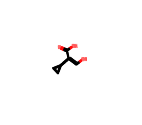 O=C(O)C(=CO)C1CC1